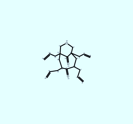 C=CCC1CC2(CC=C)COCC(CC=C)(CC(CC=C)C1=O)C2=O